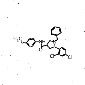 CSc1ccc(NC(=O)C2CN(Cc3ccccc3)N(c3ccc(Cl)cc3Cl)C2)cc1